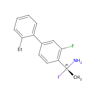 CCc1ccccc1-c1ccc([C@](C)(N)I)c(F)c1